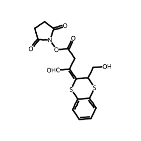 O=C/C(CC(=O)ON1C(=O)CCC1=O)=C1\Sc2ccccc2SC1CO